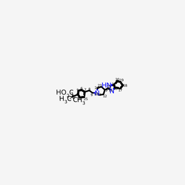 CC(C)(C(=O)O)c1ccc(CCN2CCC(c3nc4ccccc4[nH]3)CC2)cc1